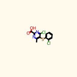 Cc1nc(C(=O)O)nc(Cl)c1Sc1ccccc1Cl